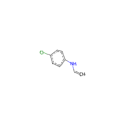 [CH]=CNc1ccc(Cl)cc1